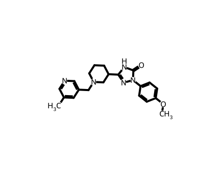 COc1ccc(-n2nc(C3CCCN(Cc4cncc(C)c4)C3)[nH]c2=O)cc1